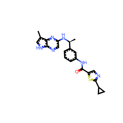 Cc1c[nH]c2ncc(N[C@@H](C)c3cccc(NC(=O)c4cnc(C5CC5)s4)c3)nc12